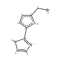 BrCc1ccc(C2=NN=N[N]2)s1